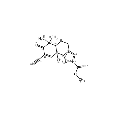 COC(=O)n1cc2c(n1)C1(C)C=C(C#N)C(=O)C(C)(C)C1CC2